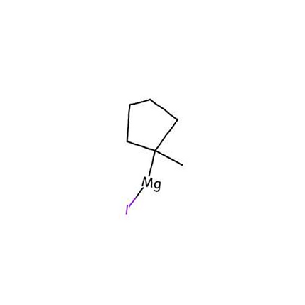 C[C]1([Mg][I])CCCC1